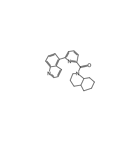 O=C(c1cccc(-c2cccc3ncccc23)n1)N1CCCC2CCCCC21